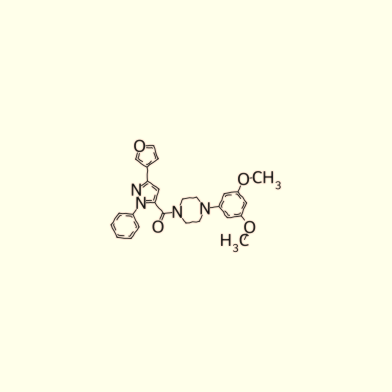 COc1cc(OC)cc(N2CCN(C(=O)c3cc(-c4ccoc4)nn3-c3ccccc3)CC2)c1